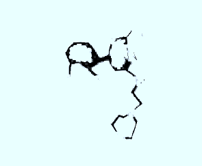 Cc1cccc(-c2cc(NCCN3CCOCC3)nc(N)n2)c1C